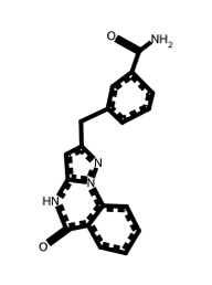 NC(=O)c1cccc(Cc2cc3[nH]c(=O)c4ccccc4n3n2)c1